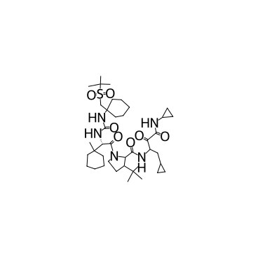 CC(C)(C)C1CCN(C(=O)[C@@H](NC(=O)NC2(CS(=O)(=O)C(C)(C)C)CCCCC2)C2(C)CCCCC2)C1C(=O)NC(CC1CC1)C(=O)C(=O)NC1CC1